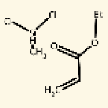 C=CC(=O)OCC.C[SiH](Cl)Cl